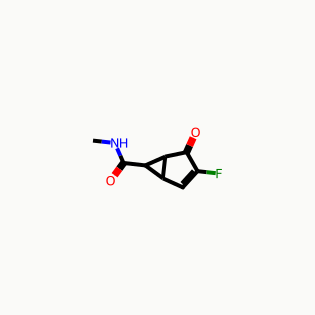 CNC(=O)C1C2C=C(F)C(=O)C21